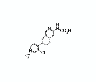 C1CC1.O=C(O)Nc1cc2ccc(-c3ccncc3Cl)cc2cn1